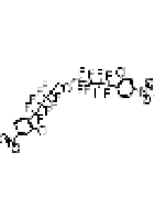 O=[N+]([O-])c1ccc(C(F)(F)C(F)(F)C(F)(F)C(F)(F)COCC(F)(F)C(F)(F)C(F)(F)C(F)(F)c2ccc([N+](=O)[O-])cc2Cl)c(Cl)c1